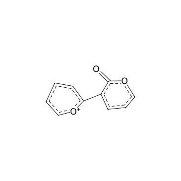 O=c1occcc1-c1cccc[o+]1